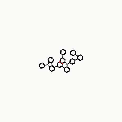 c1ccc(-c2cccc(N(c3ccc(-c4ccccc4-c4ccccc4)cc3)c3ccccc3-c3cccc(-c4cccc5c4c4ccccc4n5-c4ccccc4)c3)c2)cc1